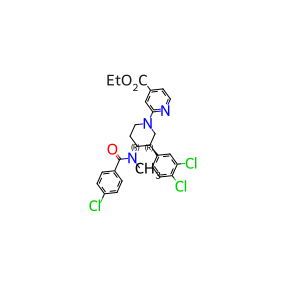 CCOC(=O)c1ccnc(N2CC[C@@H](N(C)C(=O)c3ccc(Cl)cc3)[C@H](c3ccc(Cl)c(Cl)c3)C2)c1